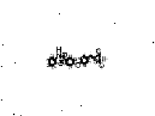 O=C1NC(=O)C(=Cc2ccc(Oc3ccc(S(=O)(=O)Nc4ccccc4)cc3)cc2)S1